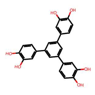 Oc1ccc(-c2cc(-c3ccc(O)c(O)c3)cc(-c3ccc(O)c(O)c3)c2)cc1O